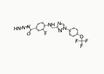 N=[N+]=NC(=O)c1ccc(NCc2ncn(-c3ccc(OC(F)(F)F)cc3)n2)c(F)c1